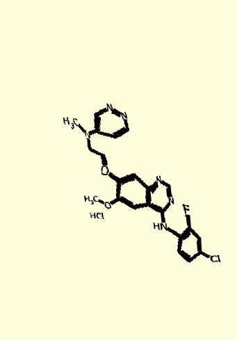 COc1cc2c(Nc3ccc(Cl)cc3F)ncnc2cc1OCCN(C)c1ccnnc1.Cl